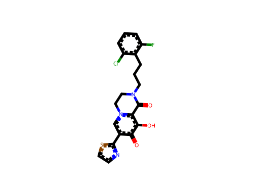 O=C1c2c(O)c(=O)c(-c3nccs3)cn2CCN1CCCc1c(F)cccc1Cl